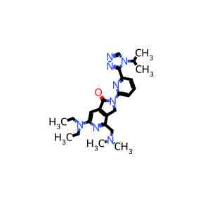 CCN(CC)c1cc2c(c(CN(C)C)n1)CN(c1cccc(-c3nncn3C(C)C)n1)C2=O